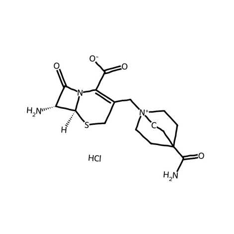 Cl.NC(=O)C12CC[N+](CC3=C(C(=O)[O-])N4C(=O)[C@@H](N)[C@@H]4SC3)(CC1)CC2